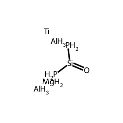 O=[Si](P)P.[AlH3].[AlH3].[MgH2].[Ti]